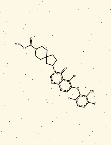 CC(C)(C)OC(=O)N1CCC2(CCC(n3cnc4ccc(Oc5c(F)ccc(F)c5C#N)c(Br)c4c3=O)C2)CC1